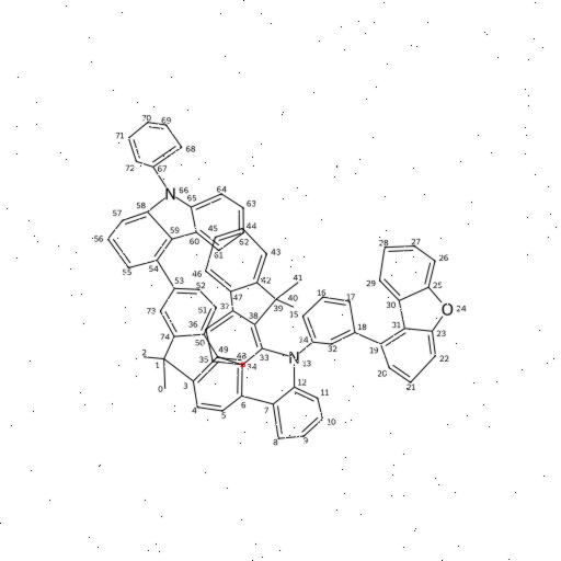 CC1(C)c2ccc(-c3ccccc3N(c3cccc(-c4cccc5oc6ccccc6c45)c3)c3cccc4c3C(C)(C)c3ccccc3-4)cc2-c2ccc(-c3cccc4c3c3ccccc3n4-c3ccccc3)cc21